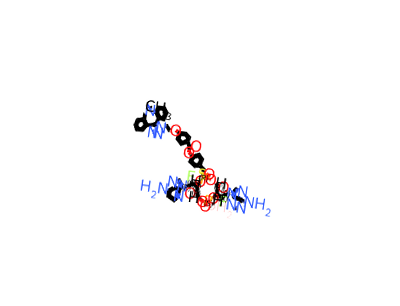 B[P@]1(=O)OC[C@H]2O[C@@H](n3cnc4c(N)ccnc43)[C@H](F)[C@@H]2O[P@](=O)(SCc2ccc(OC(=O)c3ccc(OCCn4nnc5c4-c4ccccc4N(C)Cc4ccccc4-5)cc3)cc2)OC[C@H]2O[C@@H](n3cnc4c(N)ncnc43)[C@H](F)[C@@H]2O1